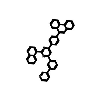 c1cncc(-c2cccc(-c3cc(-c4ccc(-c5cc6ccccc6c6ccccc56)cc4)nc(-c4cccc5ccccc45)n3)c2)c1